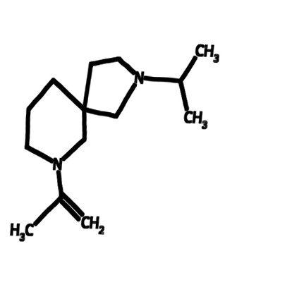 C=C(C)N1CCCC2(CCN(C(C)C)C2)C1